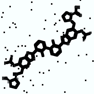 Cc1c(-c2nc3cc(CN[C@@H]4CCC[C@@H]4O)c(OC(F)F)cc3o2)cccc1-c1cccc(-c2nc3cc(CN4CCC[C@H]4C(=O)O)c(OC(F)F)cc3o2)c1C